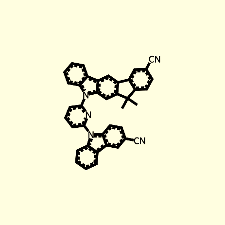 CC1(C)c2ccc(C#N)cc2-c2cc3c4ccccc4n(-c4cccc(-n5c6ccccc6c6cc(C#N)ccc65)n4)c3cc21